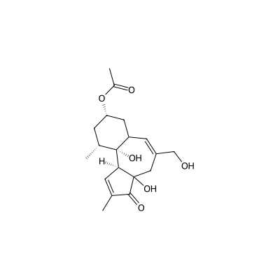 CC(=O)O[C@@H]1CC2C=C(CO)CC3(O)C(=O)C(C)=C[C@H]3[C@@]2(O)[C@H](C)C1